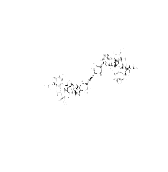 COC(=O)N[C@H](C(=O)N1CC2(CC2)C[C@H]1c1nc2ccc(C#Cc3ccc(-c4cnc([C@@H]5C[C@@H](C)CN5C(=O)[C@@H](NC(=O)OC)C5CCOCC5)[nH]4)cc3)cc2[nH]1)C(C)C